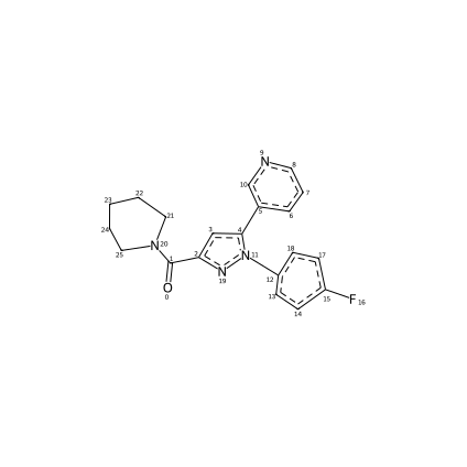 O=C(c1cc(-c2cccnc2)n(-c2ccc(F)cc2)n1)N1CCCCC1